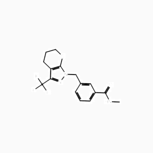 CNC(=O)c1cccc(Cn2nc(C(F)(F)F)c3c2OCCC3)c1